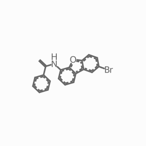 C=C(Nc1cccc2c1oc1ccc(Br)cc12)c1ccccc1